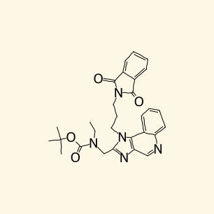 CCN(Cc1nc2cnc3ccccc3c2n1CCCN1C(=O)c2ccccc2C1=O)C(=O)OC(C)(C)C